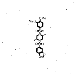 COc1ccc(S(=O)(=O)N2C[C@H](C)N(S(=O)(=O)c3ccc4c(c3)OCO4)C[C@@H]2C)cc1OC